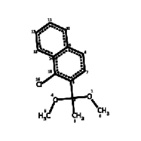 COC(C)(OC)c1ccc2ccccc2c1Cl